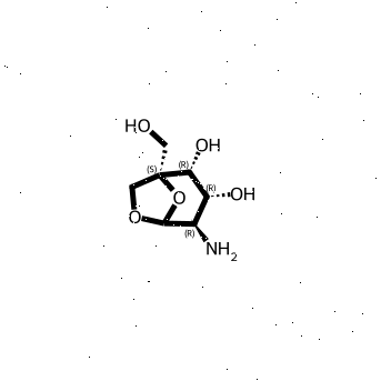 N[C@H]1C2OC[C@](CO)(O2)[C@H](O)[C@@H]1O